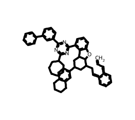 C=C/C=c1/cccc/c1=C/CC1CC(c2ccc3c(c2)CCCC3)CC2c3c(cccc3-c3nc(-c4cccc(-c5ccccc5)c4)nc(C4CCCCCC4)n3)OC12